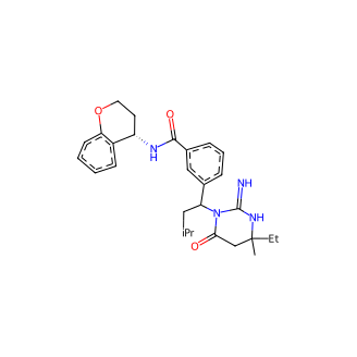 CCC1(C)CC(=O)N(C(CC(C)C)c2cccc(C(=O)N[C@H]3CCOc4ccccc43)c2)C(=N)N1